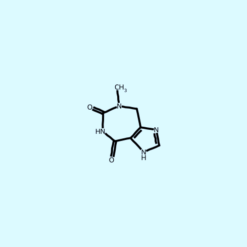 CN1Cc2nc[nH]c2C(=O)NC1=O